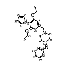 CCOc1cc(CN2CCC(Nc3ncccn3)CC2)cc(OCC)c1-n1cccc1